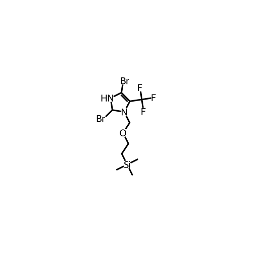 C[Si](C)(C)CCOCN1C(C(F)(F)F)=C(Br)NC1Br